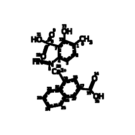 Cc1ccc(N=N)c(S(=O)(=O)O)c1O.O=C(O)c1c[c]([Ca+2])c2ccccc2c1